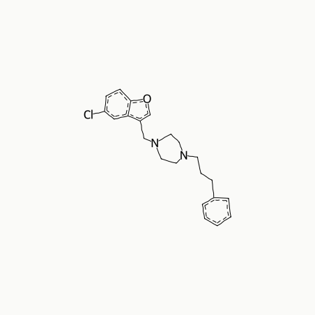 Clc1ccc2occ(CN3CCN(CCCc4ccccc4)CC3)c2c1